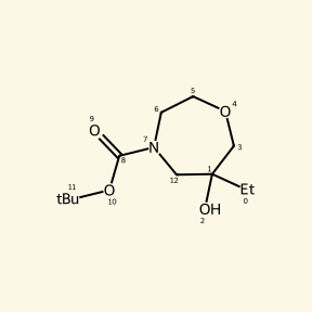 CCC1(O)COCCN(C(=O)OC(C)(C)C)C1